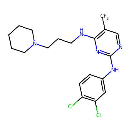 FC(F)(F)c1cnc(Nc2ccc(Cl)c(Cl)c2)nc1NCCCN1CCCCC1